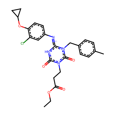 CCOC(=O)CCn1c(=O)[nH]/c(=N\c2ccc(OC3CC3)c(Cl)c2)n(Cc2ccc(C)cc2)c1=O